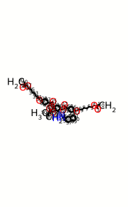 C=CC(=O)OCCCCCCOc1ccc(C(=O)Oc2ccc(OC(=O)c3ccc(OCCCCCCOC(=O)C=C)cc3)c(OC(=O)C(=C)C)c2/C=N/Nc2ccc3ccccc3c2)cc1